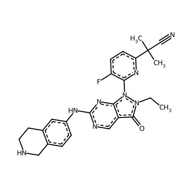 CCn1c(=O)c2cnc(Nc3ccc4c(c3)CCNC4)nc2n1-c1nc(C(C)(C)C#N)ccc1F